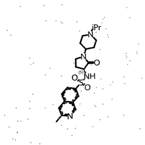 Cc1cc2ccc(S(=O)(=O)N[C@H]3CCN(C4CCN(C(C)C)CC4)C3=O)cc2cn1